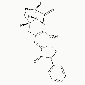 O=C(O)C1=C(/C=C2\CCN(c3ccccc3)C2=O)C[C@@H]2CN[C@@H]3C(=O)N1[C@H]23